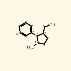 CN1CCC(CO)[C@@H]1c1cccnc1